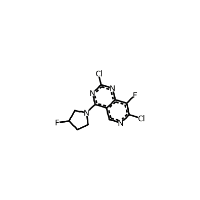 Fc1c(Cl)ncc2c(N3CCC(F)C3)nc(Cl)nc12